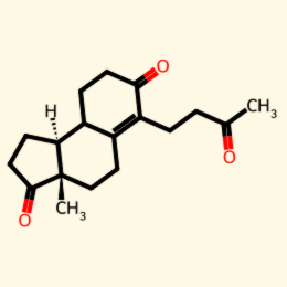 CC(=O)CCC1=C2CC[C@]3(C)C(=O)CC[C@H]3C2CCC1=O